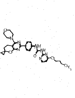 CCCCOc1ccnc(NC(=O)Nc2ccc(-c3nc4c(c(N5CCOCC5)n3)CCC3(CC3)O4)cc2)n1